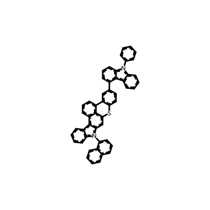 c1ccc(-n2c3ccccc3c3c(-c4ccc5c(c4)-c4cccc6c4c(cc4c6c6ccccc6n4-c4cccc6ccccc46)S5)cccc32)cc1